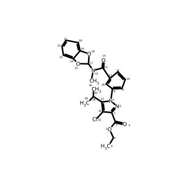 CCOC(=O)c1nn(-c2cccc(C(=O)N(C)C3Oc4ccccc4O3)c2)c(C(C)C)c1Cl